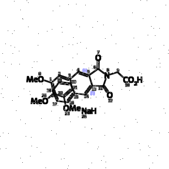 COc1cc(/C=C2/C(=O)N(CC(=O)O)C(=O)/C2=C/c2ccccc2)cc(OC)c1OC.[NaH]